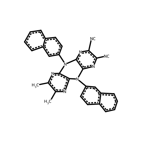 [C-]#[N+]c1nc2c(nc1[N+]#[C-])N(c1ccc3ccccc3c1)c1nc(C)c(C)nc1N2c1ccc2ccccc2c1